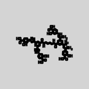 N/C(=C\Nc1ccc(C(=O)O)c(O)c1)c1cc(C(=O)NCCCCNC(=O)c2cc(-c3cn(-c4ccc(C(=O)O)c(O)c4)nn3)nc(-c3cn(-c4ccc(C(=O)O)c(O)c4)nn3)c2)cc(/C(N)=C/N(N)c2ccc(C(=O)O)c(O)c2)n1